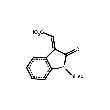 CCCCCCN1C(=O)/C(=C/C(=O)O)c2ccccc21